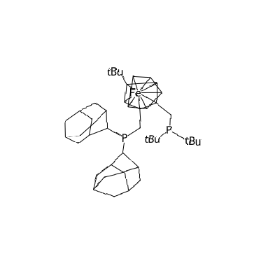 CC(C)(C)P(C[C]12[CH]3[C]4(C(C)(C)C)[CH]5[C]1(CP(C1C6CC7CC(C6)CC1C7)C1C6CC7CC(C6)CC1C7)[Fe]53241678[CH]2[CH]1[CH]6[CH]7[CH]28)C(C)(C)C